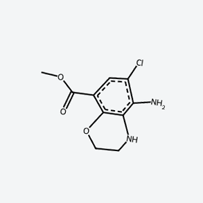 COC(=O)c1cc(Cl)c(N)c2c1OCCN2